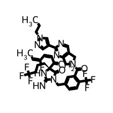 C=C(/C=C\C(F)=C/C)[C@@]1(CCCC(F)(F)F)NC(=N)N(Cc2ccc(C(F)(F)F)c(C(=O)N3Cc4cnc(-c5cnn(CCC)c5)nc4C3)c2)C1=O